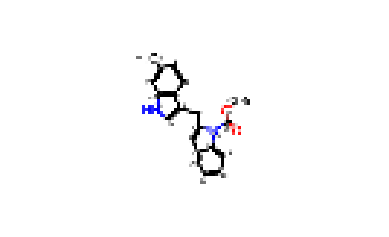 Cc1ccc2c(Cc3cc4ccccc4n3C(=O)OC(C)(C)C)c[nH]c2c1